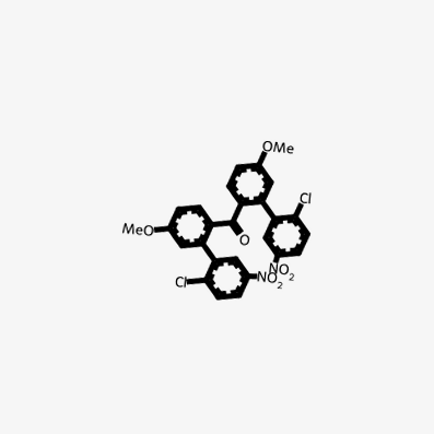 COc1ccc(C(=O)c2ccc(OC)cc2-c2cc([N+](=O)[O-])ccc2Cl)c(-c2cc([N+](=O)[O-])ccc2Cl)c1